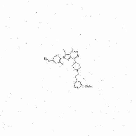 CCOc1ccc(-n2nc3c(C4CCN(CCc5cccc(OC)c5)CC4)nnc(C)c3c2C)c(F)c1